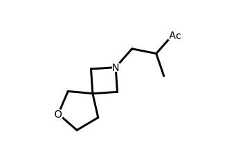 CC(=O)C(C)CN1CC2(CCOC2)C1